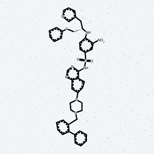 O=[N+]([O-])c1cc(S(=O)(=O)Nc2ncnc3cc(N4CCN(Cc5ccccc5-c5ccccc5)CC4)ccc23)ccc1N[C@H](CSc1ccccc1)Cc1cccnc1